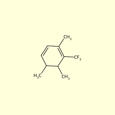 CC1=C(C(F)(F)F)C(C)C(C)C=C1